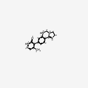 Cc1cn[nH]c(=O)c1-c1ccc2c(c1)NCN1CCN=C21